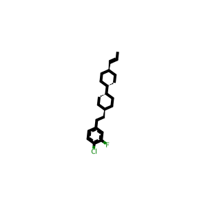 CC=C[C@H]1CC[C@H]([C@H]2CC[C@H](CCc3ccc(Cl)c(F)c3)CC2)CC1